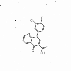 O=C(O)c1cn(-c2ccc(F)c(Cl)c2)c2ncccc2c1=O